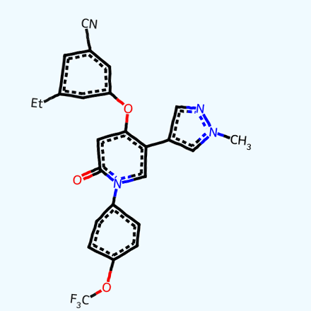 CCc1cc(C#N)cc(Oc2cc(=O)n(-c3ccc(OC(F)(F)F)cc3)cc2-c2cnn(C)c2)c1